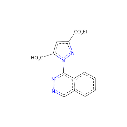 CCOC(=O)c1cc(C(=O)O)n(-c2nncc3ccccc23)n1